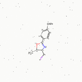 COc1ccc(C2=NC(CI)C(C)O2)cc1